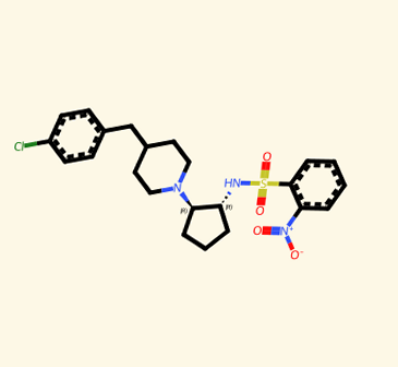 O=[N+]([O-])c1ccccc1S(=O)(=O)N[C@@H]1CCC[C@H]1N1CCC(Cc2ccc(Cl)cc2)CC1